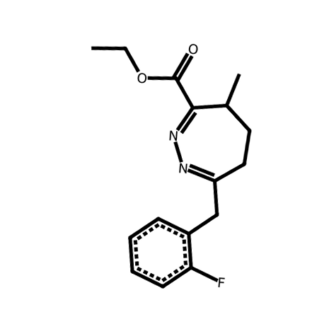 CCOC(=O)C1=NN=C(Cc2ccccc2F)CCC1C